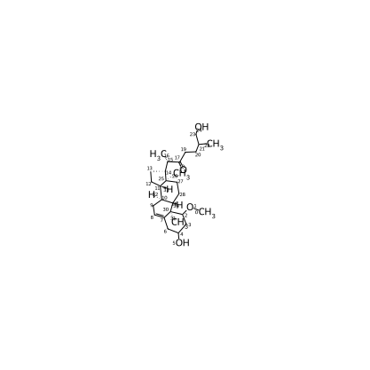 COC1CC(O)CC2=CC[C@H]3[C@@H]4CC[C@H]([C@H](C)C(=O)CCC(C)CO)[C@@]4(C)CC[C@@H]3[C@]21C